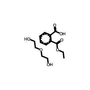 CCOC(=O)c1ccccc1C(=O)O.OCCOCCO